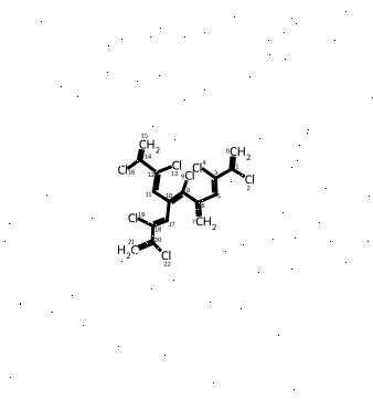 C=C(Cl)C(Cl)=CC(=C)C(Cl)=C(C=C(Cl)C(=C)Cl)C=C(Cl)C(=C)Cl